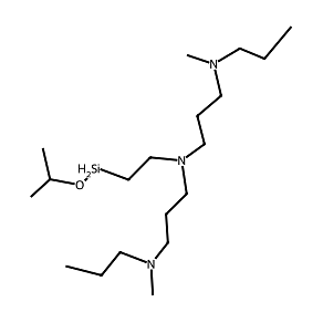 CCCN(C)CCCN(CCCN(C)CCC)CC[SiH2]OC(C)C